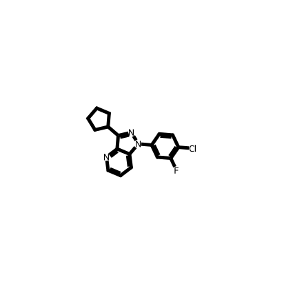 Fc1cc(-n2nc(C3CCCC3)c3ncccc32)ccc1Cl